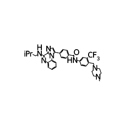 CC(C)CNc1nc2ccccc2n2c(-c3ccc(C(=O)Nc4ccc(CN5CCN(C)CC5)c(C(F)(F)F)c4)cc3)cnc12